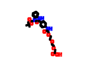 CC(C)(C)OC(=O)Nc1ccccc1NC(=O)c1ccc(NC(=O)COCCOCCOCC(=O)O)cc1